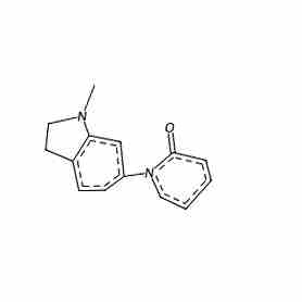 CN1CCc2ccc(-n3ccccc3=O)cc21